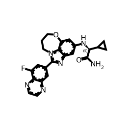 NC(=O)[C@@H](Nc1cc2c3c(c1)nc(-c1cc(F)c4nccnc4c1)n3CCCO2)C1CC1